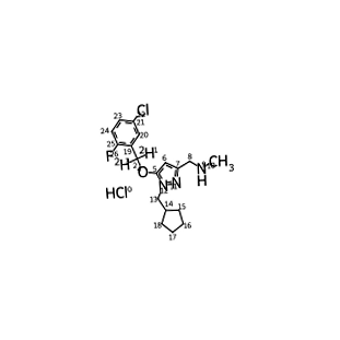 Cl.[2H]C([2H])(Oc1cc(CNC)nn1CC1CCCC1)c1cc(Cl)ccc1F